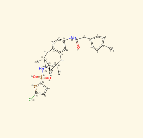 O=C(Cc1ccc(C(F)(F)F)cc1)Nc1ccc2c(c1)C[C@H]1CC[C@@H](C2)[C@H]1NS(=O)(=O)c1ccc(Cl)s1